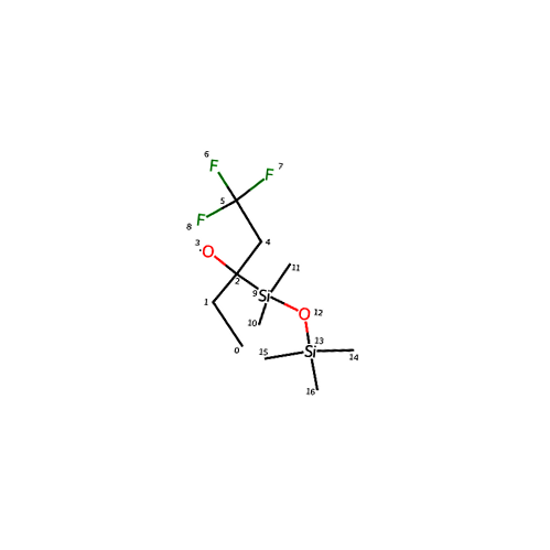 CCC([O])(CC(F)(F)F)[Si](C)(C)O[Si](C)(C)C